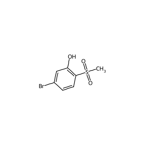 CS(=O)(=O)c1ccc(Br)cc1O